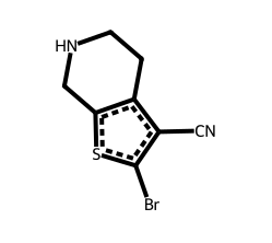 N#Cc1c(Br)sc2c1CCNC2